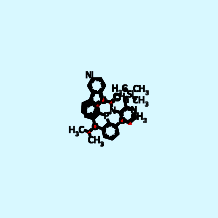 CCOc1cccc(OCC)c1P(c1c(OCC)cccc1OCC)N(C(=O)n1c2ccccc2c2ccccc21)c1cccnc1C[Si](C)(C)C.[Ni]